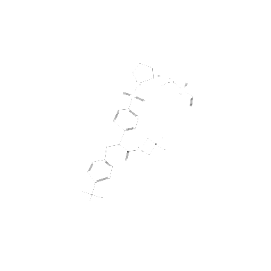 C=CS(=O)(=O)NC[C@H]1CCCN1S(=O)(=O)c1ccc(C(Cc2ccc(C(F)(F)F)cc2)C(=O)N2CC(F)(F)C2)cc1